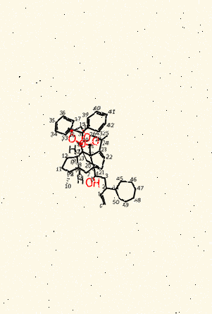 C=CC(CC(O)C12C[C@@H]3[C@H](C)CC[C@H]3C3(C4OCCO4)CC1C=C(C(C)C)C23C(=O)OC(c1ccccc1)c1ccccc1)C1CCCCCC1